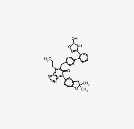 CCCc1c(Cc2ccc(-c3ccccc3C3=NOC(O)N3)cc2)c(=O)n(-c2ccc3c(c2)CC(C)(C)O3)c2ncnn12